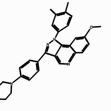 COc1ccc2ncc3c(-c4ccc(N5CCOCC5)cc4)nn(-c4ccc(C)c(C)c4)c3c2c1